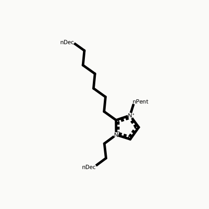 CCCCCCCCCCCCCCCCc1n(CCCCCCCCCCCC)cc[n+]1CCCCC